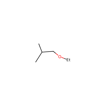 CCOCC(C)C